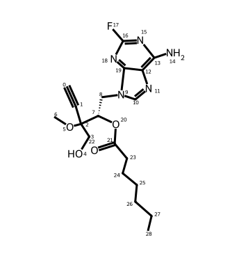 C#CC(CO)(OC)[C@H](Cn1cnc2c(N)nc(F)nc21)OC(=O)CCCCCC